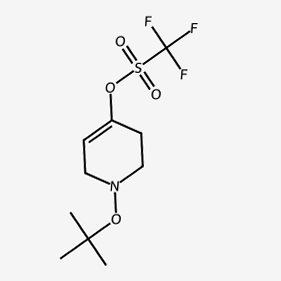 CC(C)(C)ON1CC=C(OS(=O)(=O)C(F)(F)F)CC1